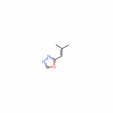 [CH2]/C(C)=C/c1nnco1